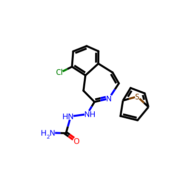 NC(=O)NNC1=NC=Cc2cccc(Cl)c2C1.c1cc2ccc1s2